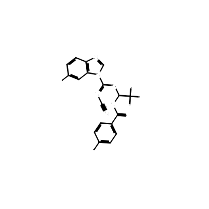 CC(C)(C)C(NC(=O)c1ccc(Cl)cc1)NC(=NC#N)n1cnc2ccc(F)cc21